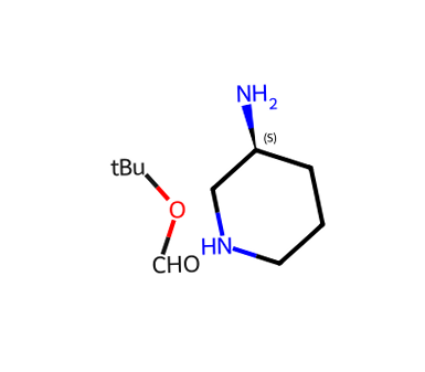 CC(C)(C)OC=O.N[C@H]1CCCNC1